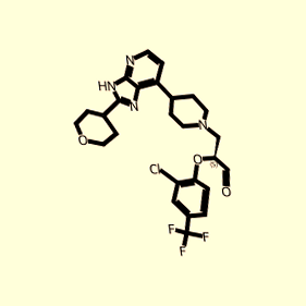 O=C[C@H](CN1CCC(c2ccnc3[nH]c(C4CCOCC4)nc23)CC1)Oc1ccc(C(F)(F)F)cc1Cl